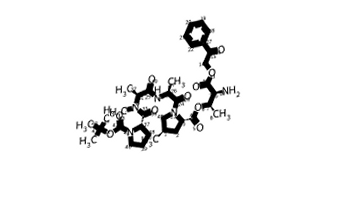 C[C@H]1C[C@@H](C(=O)O[C@@H](C)[C@H](N)C(=O)OCC(=O)c2ccccc2)N(C(=O)[C@H](C)NC(=O)[C@H](C)N(C)C(=O)[C@@H]2CCCN2C(=O)OC(C)(C)C)C1